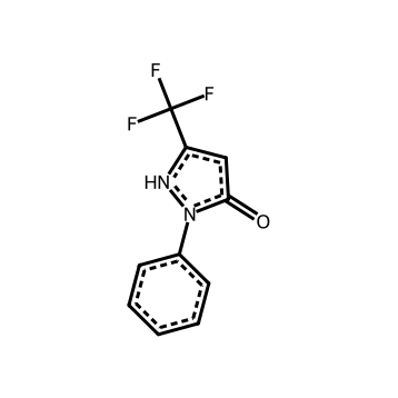 O=c1cc(C(F)(F)F)[nH]n1-c1ccccc1